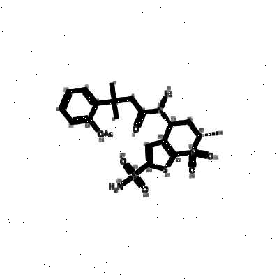 CCN(C(=O)CC(C)(C)c1ccccc1OC(C)=O)[C@H]1C[C@H](C)S(=O)(=O)c2sc(S(N)(=O)=O)cc21